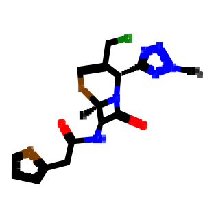 Bn1nnc([C@H]2C(CCl)=CS[C@@H]3[C@H](NC(=O)Cc4cccs4)C(=O)N23)n1